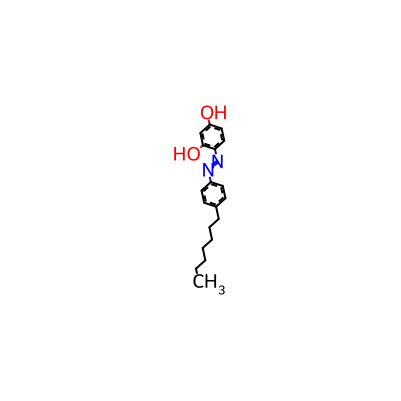 CCCCCCCc1ccc(N=Nc2ccc(O)cc2O)cc1